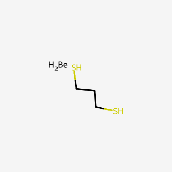 SCCCS.[BeH2]